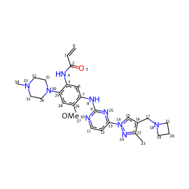 C=CC(=O)Nc1cc(Nc2nccc(-n3cc(CN4CCC4)c(C)n3)n2)c(OC)cc1N1CCN(C)CC1